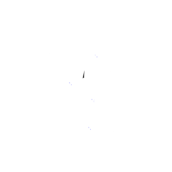 O=C(O)c1ccc(N(Cc2cnc(C3CCCC3)cn2)C(=O)[C@H]2CCN2S(=O)(=O)c2c(F)c(F)c(F)c(F)c2F)cc1O